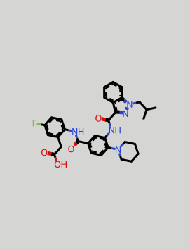 CC(C)Cn1nc(C(=O)Nc2cc(C(=O)Nc3ccc(F)cc3CC(=O)O)ccc2N2CCCCC2)c2ccccc21